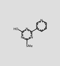 CSc1nc(O)nc(-c2cccnc2)n1